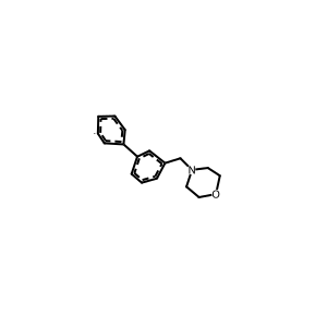 [c]1cccc(-c2cccc(CN3CCOCC3)c2)c1